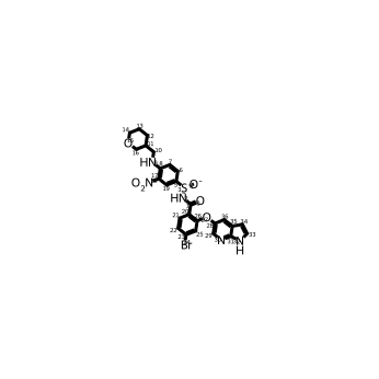 O=C(N[S+]([O-])c1ccc(NCC2CCCOC2)c([N+](=O)[O-])c1)c1ccc(Br)cc1Oc1cnc2[nH]ccc2c1